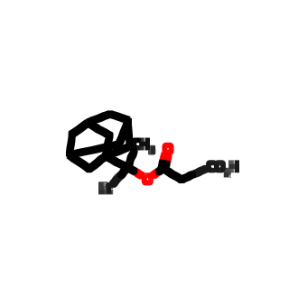 CCC(C)(OC(=O)CC(=O)O)C12CC3CC(CC(C3)C1)C2